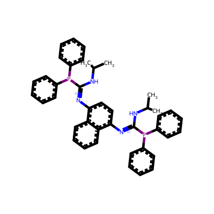 CC(C)N/C(=N\c1ccc(/N=C(\NC(C)C)P(c2ccccc2)c2ccccc2)c2ccccc12)P(c1ccccc1)c1ccccc1